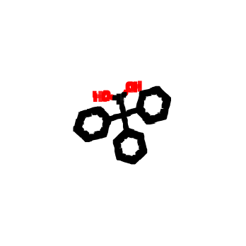 OB(O)C(c1ccccc1)(c1ccccc1)c1ccccc1